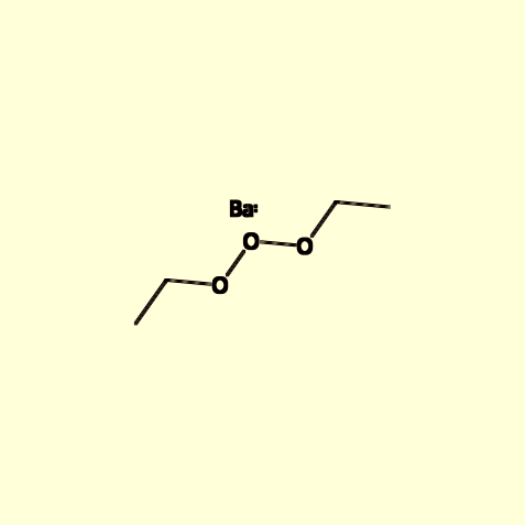 CCOOOCC.[Ba]